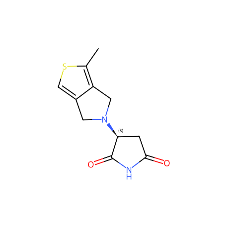 Cc1scc2c1CN([C@H]1CC(=O)NC1=O)C2